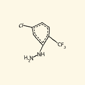 NNc1cc(Cl)ccc1C(F)(F)F